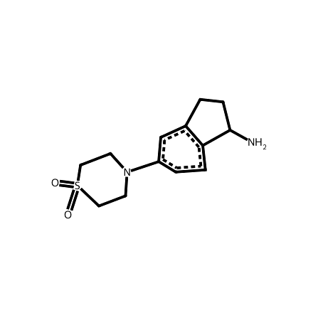 NC1CCc2cc(N3CCS(=O)(=O)CC3)ccc21